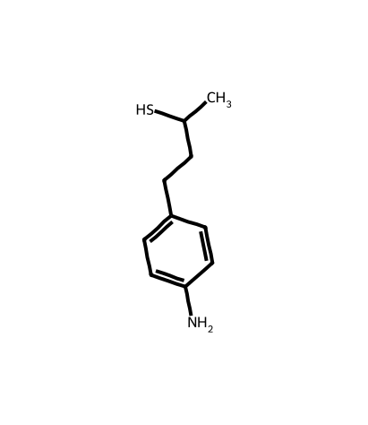 CC(S)CCc1ccc(N)cc1